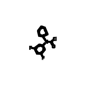 O=C(Cl)N(c1ccccc1)c1cc(F)cc(F)c1